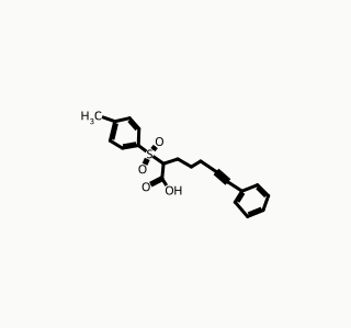 Cc1ccc(S(=O)(=O)C(CCCC#Cc2ccccc2)C(=O)O)cc1